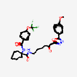 COc1ccc(-c2nnc(C(=O)CCCCNC(=O)C3(NC(=O)c4ccc(OC(F)(F)F)cc4)CCCCC3)o2)cc1